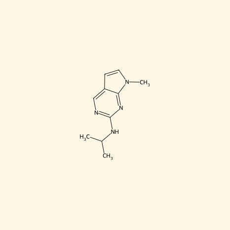 CC(C)Nc1ncc2ccn(C)c2n1